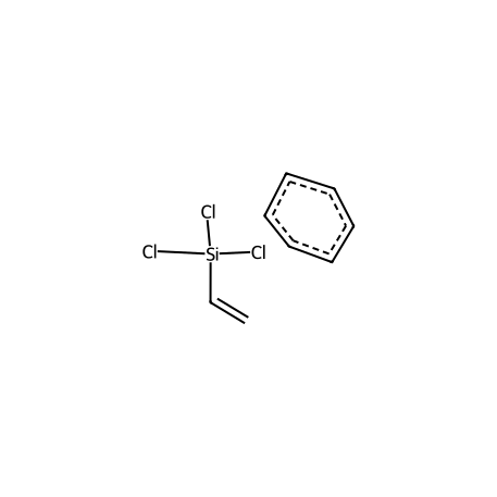 C=C[Si](Cl)(Cl)Cl.c1ccccc1